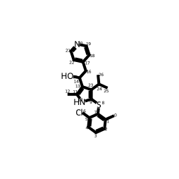 Cc1cccc(Cl)c1Sc1[nH]c(C)c(C(O)Cc2ccncc2)c1C(C)C